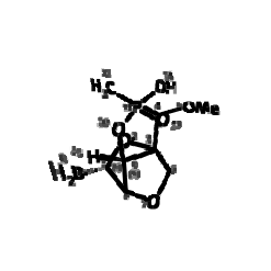 B[C@@H]1OC2(COC)COC1[C@@H]2OP(C)(=O)O